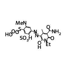 CCn1c(O)c(N=Nc2cc(NC)c(SOOO)cc2S(=O)(=O)O)c(C)c(C(N)=O)c1=O